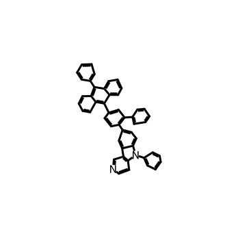 c1ccc(-c2cc(-c3c4ccccc4c(-c4ccccc4)c4ccccc34)ccc2-c2ccc3c(c2)c2cnccc2n3-c2ccccc2)cc1